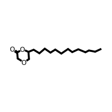 CCCCCCCCCCCCCC1COCC(=O)O1